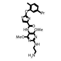 COc1nc(NCCN)nc(OC)c1NC(=O)c1csc(Oc2cc(C(C)C)ccc2C)n1